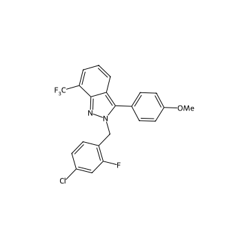 COc1ccc(-c2c3cccc(C(F)(F)F)c3nn2Cc2ccc(Cl)cc2F)cc1